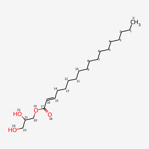 CCCCCCCCCCCCCCCC=CC(=O)OCC(O)CO